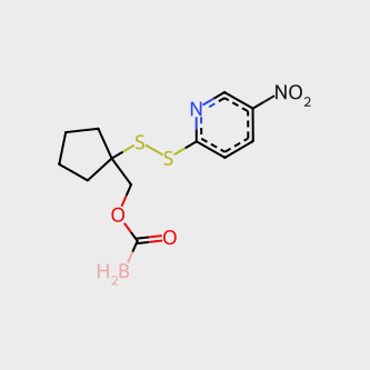 BC(=O)OCC1(SSc2ccc([N+](=O)[O-])cn2)CCCC1